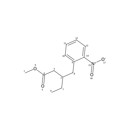 CCC(CC(=O)OC)Cc1ccccc1[N+](=O)[O-]